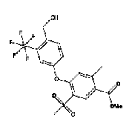 COC(=O)c1cc(S(C)(=O)=O)c(Oc2ccc(CO)c(S(F)(F)(F)(F)F)c2)cc1C